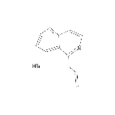 Br.C=CCc1nccc2ccccc12